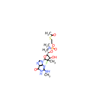 CNc1nc2c(ncn2[C@@H]2O[C@H](COP(=O)(OCCSC(C)=O)N(C)C)C(O)[C@]2(C)F)c(=O)[nH]1